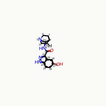 O=C(N[C@@H]1CN2CCC1CC2)c1n[nH]c2ccc(O)cc12